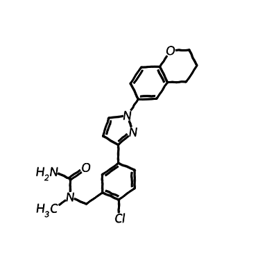 CN(Cc1cc(-c2ccn(-c3ccc4c(c3)CCCO4)n2)ccc1Cl)C(N)=O